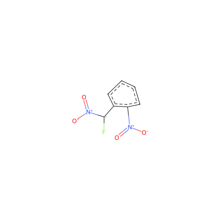 O=[N+]([O-])[C](F)c1ccccc1[N+](=O)[O-]